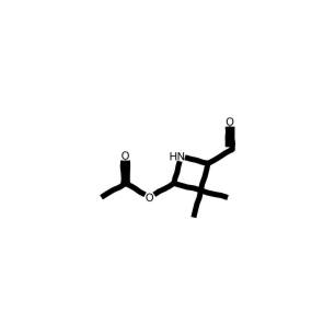 CC(=O)OC1NC(C=O)C1(C)C